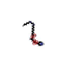 CCCCC/C=C\C/C=C\CCCCCCCC(=O)OCC(C)COC(=O)OCC1CCN(C)CC1